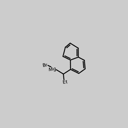 CC[CH]([Mg][Br])c1cccc2ccccc12